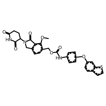 COc1c(COC(=O)Nc2ccc(Oc3ccc4ccsc4c3)cc2)ccc2c1C(=O)N(C1CCC(=O)NC1=O)C2